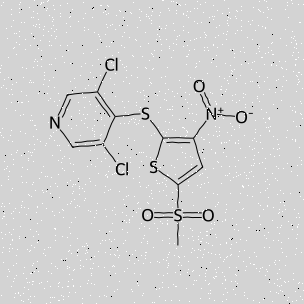 CS(=O)(=O)c1cc([N+](=O)[O-])c(Sc2c(Cl)cncc2Cl)s1